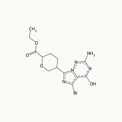 CCOC(=O)C1CCC(c2nc(Br)c3c(O)nc(N)nn23)CO1